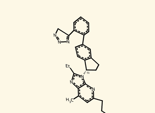 CCc1nc2c(C)cc(CCO)nc2n1[C@H]1CCc2cc(-c3ccccc3C3=NN=NC3)ccc21